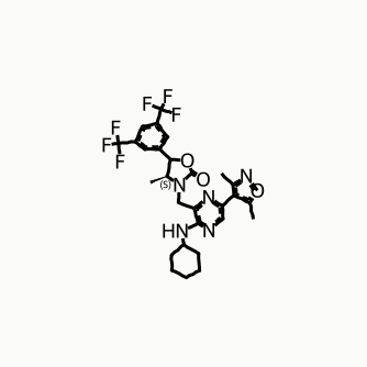 Cc1noc(C)c1-c1cnc(NC2CCCCC2)c(CN2C(=O)OC(c3cc(C(F)(F)F)cc(C(F)(F)F)c3)[C@@H]2C)n1